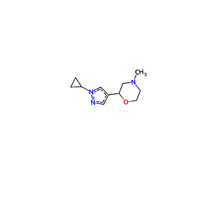 CN1CCOC(c2cnn(C3CC3)c2)C1